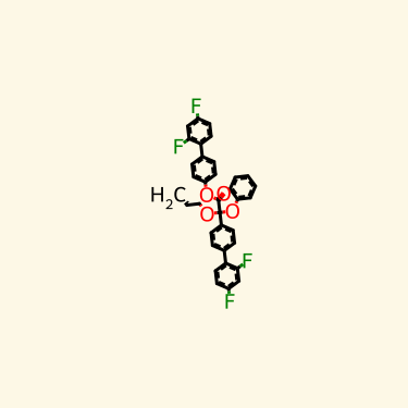 C=CCOC(Oc1ccccc1)(C(=O)Oc1ccc(-c2ccc(F)cc2F)cc1)c1ccc(-c2ccc(F)cc2F)cc1